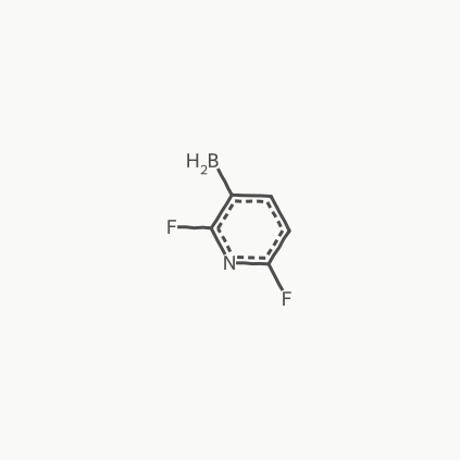 Bc1ccc(F)nc1F